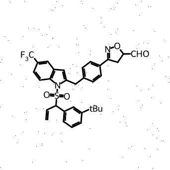 C=CC(c1cccc(C(C)(C)C)c1)S(=O)(=O)n1c(Cc2ccc(C3=NOC(C=O)C3)cc2)cc2cc(C(F)(F)F)ccc21